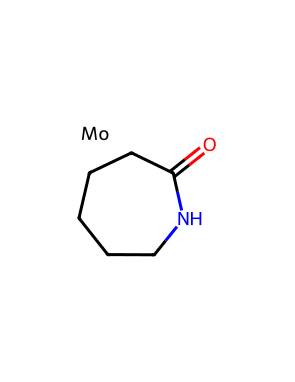 O=C1CCCCCN1.[Mo]